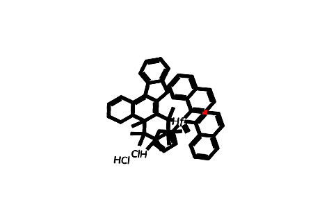 Cl.Cl.[CH2]=[Hf]([C]1=CC=CC1)([c]1cccc2ccccc12)([c]1cccc2ccccc12)[C]1(C)C2=C3Cc4ccccc4C3=C3C=CCCC3C2(C)C(C)(C)C(C)(C)C1(C)C